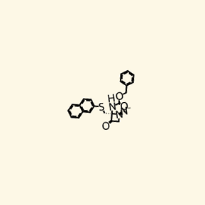 [N-]=[N+]1CC(=O)[C@@]1(CSc1ccc2ccccc2c1)NC(=O)OCc1ccccc1